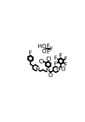 O=C(O)C(F)(F)F.O=C(c1c(F)c(F)c(F)c(F)c1F)N1CCC(C(=O)N(CCCN2CCC(Cc3ccc(F)cc3)CC2)c2ccc(Cl)c(Cl)c2)CC1